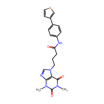 Cn1c(=O)c2c(ncn2CCCC(=O)Nc2ccc(-c3ccsc3)cc2)n(C)c1=O